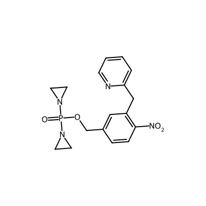 O=[N+]([O-])c1ccc(COP(=O)(N2CC2)N2CC2)cc1Cc1ccccn1